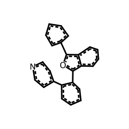 c1ccc(-c2oc(-c3ccccc3-c3ccncc3)c3ccccc23)cc1